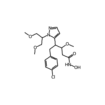 COCC(COC)n1nccc1C(Cc1ccc(Cl)cc1)C(CC(=O)NO)OC